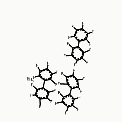 B.Fc1c(F)c(F)c(-c2c(F)c(F)c(F)c(F)c2F)c(F)c1F.Fc1c(F)c(F)c(-c2c(F)c(F)c(F)c(F)c2F)c(F)c1F.Fc1c(F)c(F)c(-c2c(F)c(F)c(F)c(F)c2F)c(F)c1F